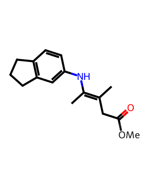 COC(=O)C/C(C)=C(\C)Nc1ccc2c(c1)CCC2